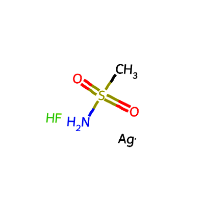 CS(N)(=O)=O.F.[Ag]